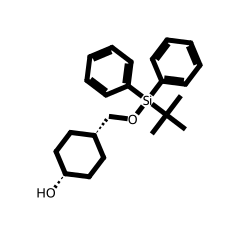 CC(C)(C)[Si](OC[C@H]1CC[C@@H](O)CC1)(c1ccccc1)c1ccccc1